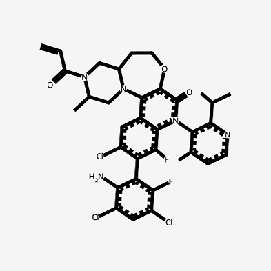 C=CC(=O)N1CC2CCOc3c(c4cc(Cl)c(-c5c(N)c(Cl)cc(Cl)c5F)c(F)c4n(-c4c(C)ccnc4C(C)C)c3=O)N2CC1C